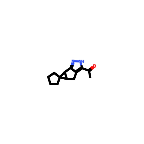 CC(=O)c1[nH]nc2c1CC1C2C12CCCC2